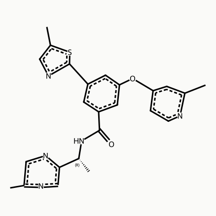 Cc1cnc([C@@H](C)NC(=O)c2cc(Oc3ccnc(C)c3)cc(-c3ncc(C)s3)c2)cn1